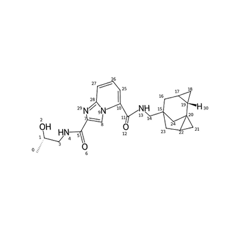 C[C@H](O)CNC(=O)c1cn2c(C(=O)NCC34CC5C[C@@H]5C5(CC5C3)C4)cccc2n1